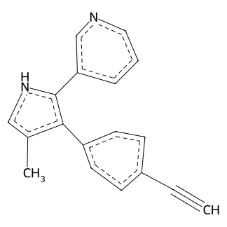 C#Cc1ccc(-c2c(C)c[nH]c2-c2cccnc2)cc1